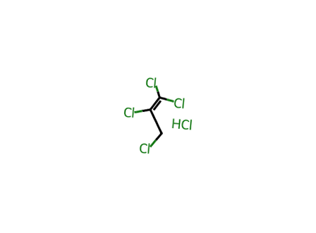 Cl.ClCC(Cl)=C(Cl)Cl